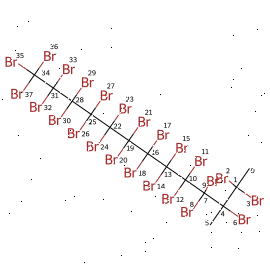 CC(Br)(Br)C(C)(Br)C(Br)(Br)C(Br)(Br)C(Br)(Br)C(Br)(Br)C(Br)(Br)C(Br)(Br)C(Br)(Br)C(Br)(Br)C(Br)(Br)C(Br)(Br)Br